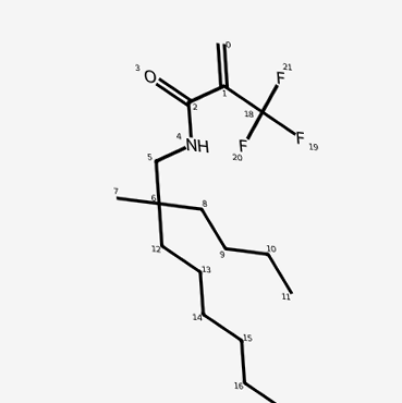 C=C(C(=O)NCC(C)(CCCC)CCCCCC)C(F)(F)F